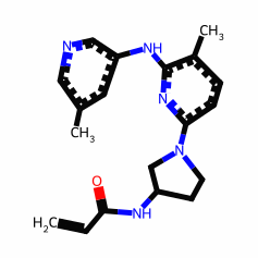 C=CC(=O)NC1CCN(c2ccc(C)c(Nc3cncc(C)c3)n2)C1